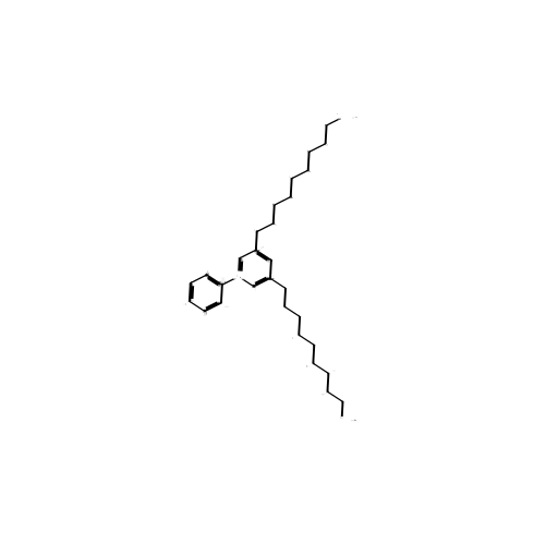 CCCCCCCCCCCCCCCCCCCc1cc(CCCCCCCCCCCCCCCCCCC)c[n+](-c2ccccc2)c1